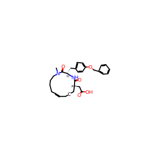 CN1CCCCC=CCCC[C@H](CC(=O)O)C(=O)N[C@@H](Cc2ccc(OCc3ccccc3)cc2)C1=O